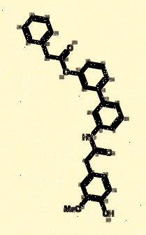 COc1cc(CC(=O)Nc2cccc(-c3cccc(OC(=O)Cc4ccccc4)c3)c2)ccc1O